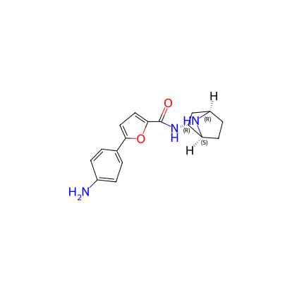 Nc1ccc(-c2ccc(C(=O)N[C@@H]3C[C@H]4CC[C@@H]3N4)o2)cc1